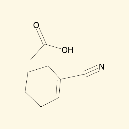 CC(=O)O.N#CC1=CCCCC1